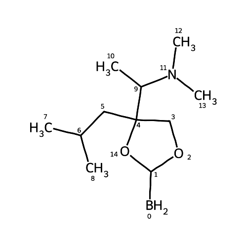 BC1OCC(CC(C)C)(C(C)N(C)C)O1